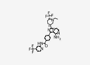 CCN1C[C@@H](c2nc(-c3ccc(C(=O)Nc4cc(C(F)(F)F)ccn4)cc3)c3c(N)nccn23)CC[C@@H]1C(F)(F)F